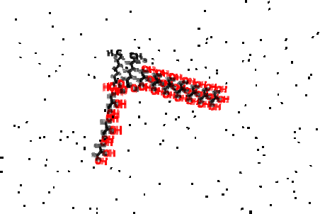 CCCCCCCC(=O)O.CCCCCCCC(=O)O.OCC(O)CO.OCC(O)CO.OCC(O)CO.OCC(O)CO.OCC(O)CO.OCC(O)CO.OCC(O)CO.OCC(O)CO.OCC(O)CO.OCC(O)CO